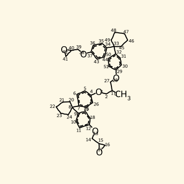 CC(COc1ccc(C2(c3ccc(OCC4CO4)cc3)CCCCC2)cc1)COc1ccc(C2(c3ccc(OCC4CO4)cc3)CCCCC2)cc1